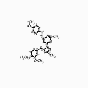 COc1ccc(COc2cc(-n3nc(C)nc3Cc3ccc(OC)c(OC)c3)nc(C)n2)nc1